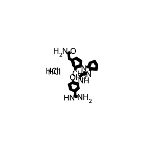 Cc1cc(CC(N)=O)ccc1-n1c(CNc2cc(C(=N)N)ccc2O)nc2ccccc21.Cl.Cl